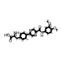 COc1ccc(NC(=O)c2cnc(-c3ccc(CC(N)C(=O)O)cc3)cn2)cc1OC